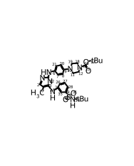 Cc1cnc(Nc2ccc(N3CCN(C(=O)OC(C)(C)C)CC3)cc2)nc1Nc1cccc(S(=O)(=O)NC(C)(C)C)c1